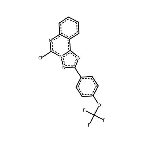 FC(F)(F)Oc1ccc(-c2nc3c4ccccc4nc(Cl)n3n2)cc1